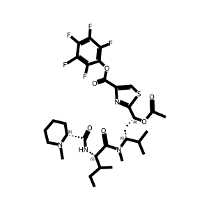 CCC(C)[C@H](NC(=O)[C@H]1CCCCN1C)C(=O)N(C)[C@H](C[C@@H](OC(C)=O)c1nc(C(=O)Oc2c(F)c(F)c(F)c(F)c2F)cs1)C(C)C